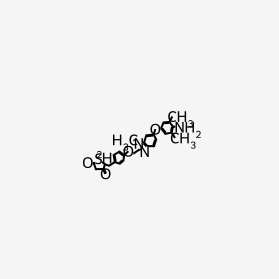 [2H]C1(Cc2ccc(OCc3nc4ccc(Oc5cc(C)c(N)c(C)c5)cc4n3C)cc2)SC(=O)CC1=O